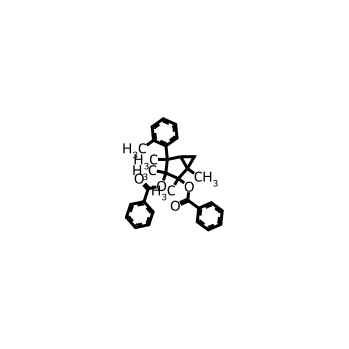 Cc1ccccc1C1(C)C2CC2(C)C(C)(OC(=O)c2ccccc2)C1(C)OC(=O)c1ccccc1